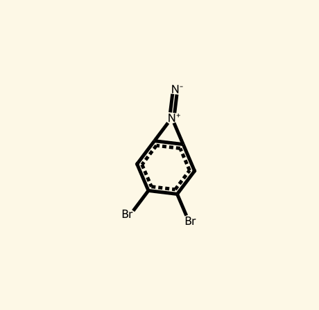 [N-]=[N+]1c2cc(Br)c(Br)cc21